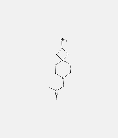 C[SH](C)CN1CCC2(CC1)CC(N)C2